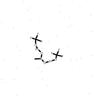 CB([O][Zn][O]C(F)(F)F)[O][Zn][O]C(F)(F)F